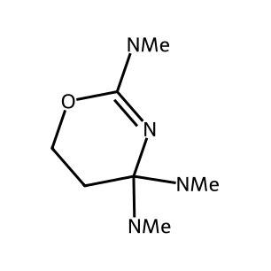 CNC1=NC(NC)(NC)CCO1